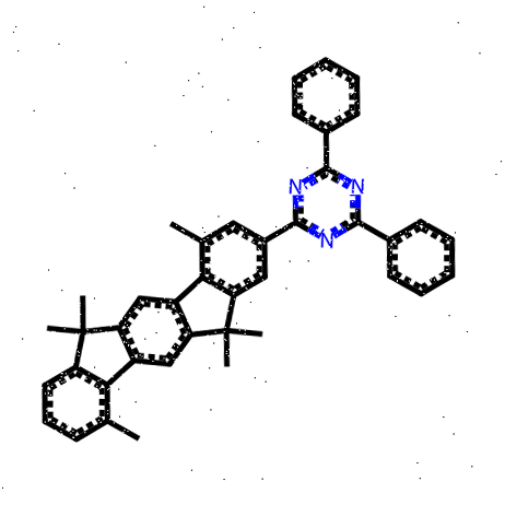 Cc1cccc2c1-c1cc3c(cc1C2(C)C)-c1c(C)cc(-c2nc(-c4ccccc4)nc(-c4ccccc4)n2)cc1C3(C)C